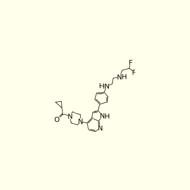 O=C(C1CC1)N1CCN(c2ccnc3[nH]c(-c4ccc(NCCNCC(F)F)cc4)cc23)CC1